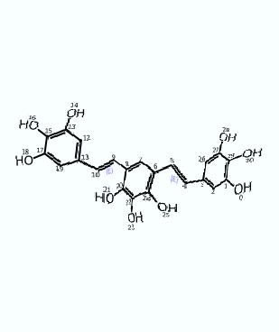 Oc1cc(/C=C/c2cc(/C=C/c3cc(O)c(O)c(O)c3)c(O)c(O)c2O)cc(O)c1O